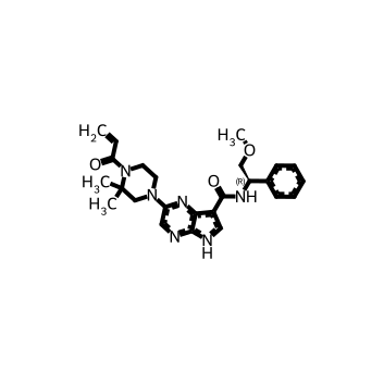 C=CC(=O)N1CCN(c2cnc3[nH]cc(C(=O)N[C@@H](COC)c4ccccc4)c3n2)CC1(C)C